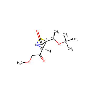 COCC(=O)[C@H]1N2S[C@]1([C@@H](C)O[Si](C)(C)C)C2=O